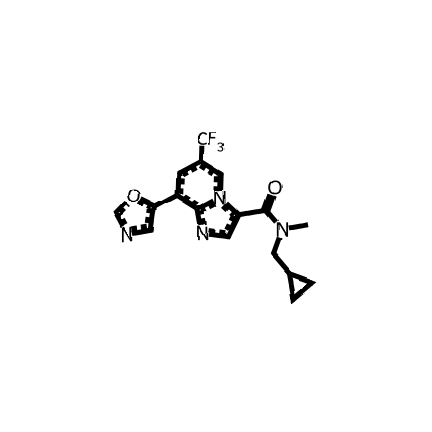 CN(CC1CC1)C(=O)c1cnc2c(-c3cnco3)cc(C(F)(F)F)cn12